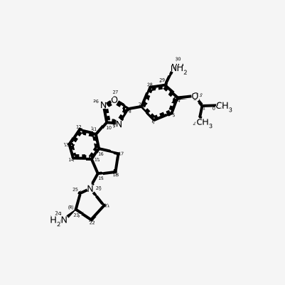 CC(C)Oc1ccc(-c2nc(-c3cccc4c3CCC4N3CC[C@@H](N)C3)no2)cc1N